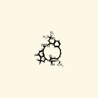 CC[C@]12CCCc3ccc4c(c3)[C@H](CC(C)(C)O4)NC(=O)c3cc(F)c4c(c3)C(CC4(F)F)N(C(=N)N1)C(=O)C2